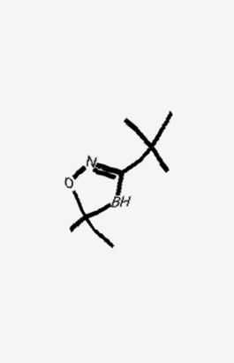 CC1(C)BC(C(C)(C)C)=NO1